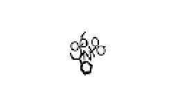 CCOC(=O)c1c(CC)c2ccccc2n1C(C)(C)C(=O)OC